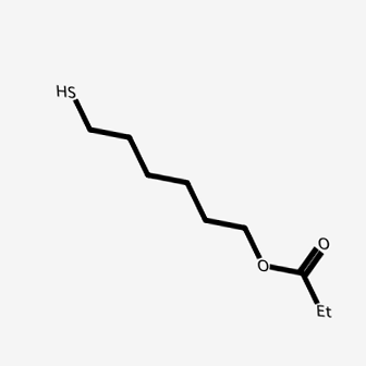 CCC(=O)OCCCCCCS